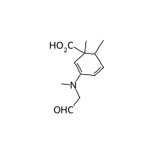 CC1C=CC(N(C)CC=O)=CC1(C)C(=O)O